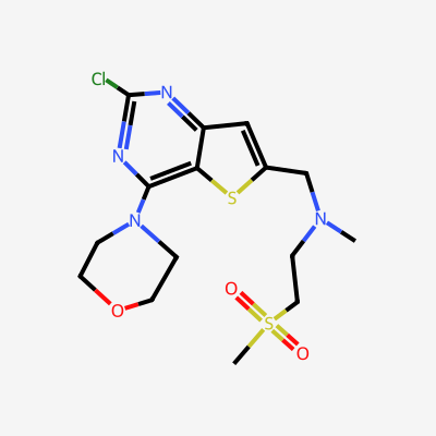 CN(CCS(C)(=O)=O)Cc1cc2nc(Cl)nc(N3CCOCC3)c2s1